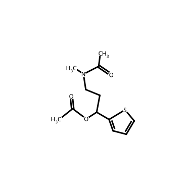 CC(=O)OC(CCN(C)C(C)=O)c1cccs1